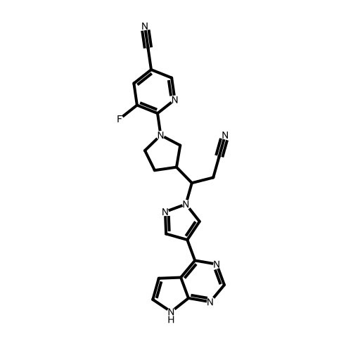 N#CCC(C1CCN(c2ncc(C#N)cc2F)C1)n1cc(-c2ncnc3[nH]ccc23)cn1